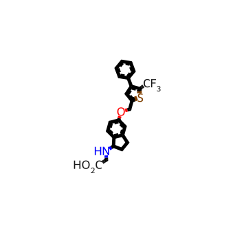 O=C(O)CNC1CCc2cc(OCc3cc(-c4ccccc4)c(C(F)(F)F)s3)ccc21